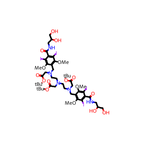 COc1c(I)c(C(=O)NCC(O)CO)c(I)c(OC)c1CN(CCN(CCN(CC(=O)OC(C)(C)C)Cc1c(OC)c(I)c(C(=O)NCC(O)CO)c(I)c1OC)CC(=O)OC(C)(C)C)CC(=O)OC(C)(C)C